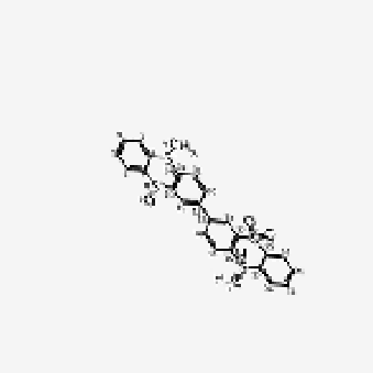 C[SH]1c2ccccc2[S+]([O-])c2cc(-c3ccc4c(c3)S(=O)(=O)c3ccccc3[SH]4C)ccc21